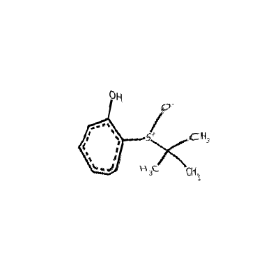 CC(C)(C)[S+]([O-])c1ccccc1O